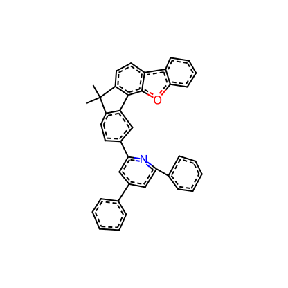 CC1(C)c2ccc(-c3cc(-c4ccccc4)cc(-c4ccccc4)n3)cc2-c2c1ccc1c2oc2ccccc21